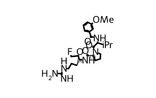 COc1cccc(C(=O)NC(C(=O)N2CCC[C@H]2C(=O)N[C@@H](CCCNC(=N)N)C(=O)CF)C(C)C)c1